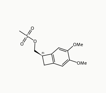 COc1cc2c(cc1OC)[C@H](COS(C)(=O)=O)C2